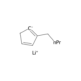 CCCCC1=[C-]CC=C1.[Li+]